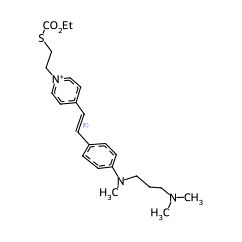 CCOC(=O)SCC[n+]1ccc(/C=C/c2ccc(N(C)CCCN(C)C)cc2)cc1